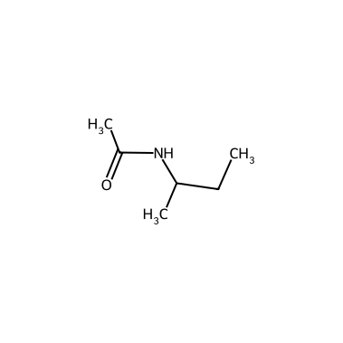 CCC(C)NC(C)=O